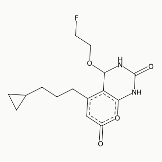 O=C1Nc2oc(=O)cc(CCCC3CC3)c2C(OCCF)N1